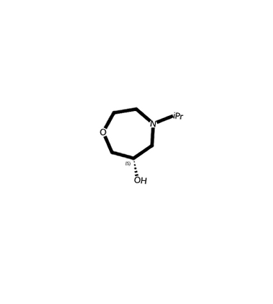 CC(C)N1CCOC[C@@H](O)C1